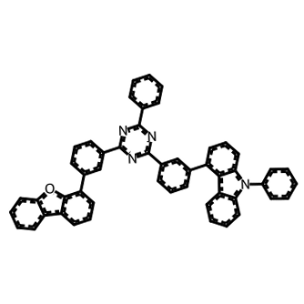 c1ccc(-c2nc(-c3cccc(-c4cccc5c4oc4ccccc45)c3)nc(-c3cccc(-c4cccc5c4c4ccccc4n5-c4ccccc4)c3)n2)cc1